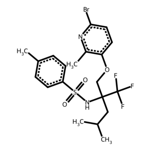 Cc1ccc(S(=O)(=O)NC(COc2ccc(Br)nc2C)(CC(C)C)C(F)(F)F)cc1